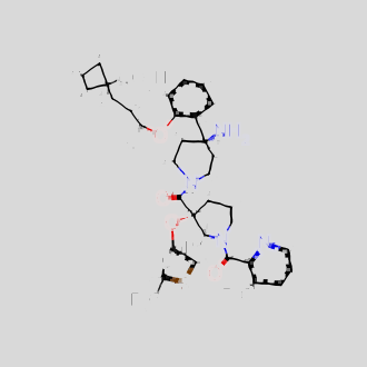 CCC[C@H]1N(C(=O)c2ncccc2C(F)(F)F)CCC[C@@]1(Oc1csc(C(F)(F)F)c1)C(=O)N1CCC(N)(c2ccccc2O[C@H](C)CCC2(C(=O)O)CCC2)CC1